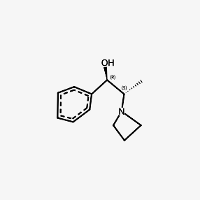 C[C@@H]([C@H](O)c1ccccc1)N1CCC1